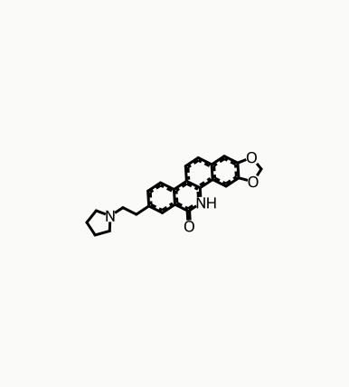 O=c1[nH]c2c3cc4c(cc3ccc2c2ccc(CCN3CCCC3)cc12)OCO4